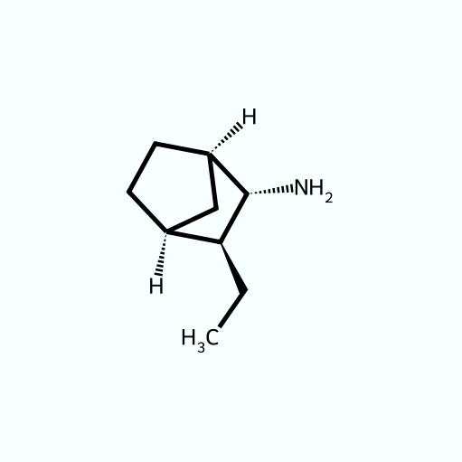 CC[C@H]1[C@H]2CC[C@H](C2)[C@@H]1N